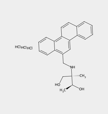 C[C@H](O)[C@@](C)(CO)NCc1cc2c3ccccc3ccc2c2ccccc12.Cl.Cl.Cl